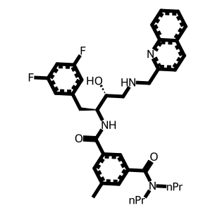 CCCN(CCC)C(=O)c1cc(C)cc(C(=O)N[C@@H](Cc2cc(F)cc(F)c2)[C@H](O)CNCc2ccc3ccccc3n2)c1